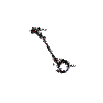 COc1ccc(-c2ccc3ncc4c(c3c2)n(-c2ccc(N3CCN(c5ncc(CNC(=O)CCOCCOCCOCCOCCOCCOCCOCCOCCNC(=O)O[C@@H]6CC[C@@H](C[C@@H](N)[C@@H]7CC(=O)[C@H](C)/C=C(\C)[C@@H](O)[C@@H](O)C(=O)[C@H](C)C[C@H](C)/C=C/C=C/C=C(\C)[C@@H](OC)C[C@@H]8CCC[C@@](O)(O8)C(=O)C(=O)N8CCCC[C@H]8C(=O)O7)C[C@H]6OC)cn5)CC3)c(C(F)(F)F)c2)c(=O)n4C)cn1